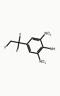 [NH]c1c([N+](=O)[O-])cc(C(F)(F)CF)cc1[N+](=O)[O-]